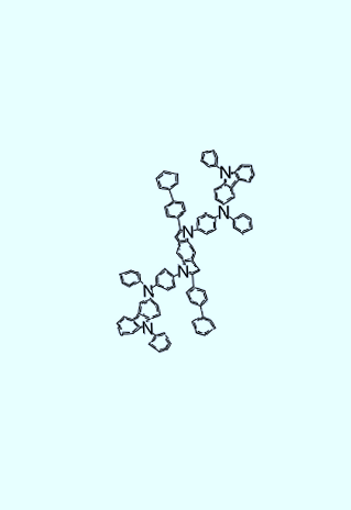 c1ccc(-c2ccc(-c3cc4cc5c(cc(-c6ccc(-c7ccccc7)cc6)n5-c5ccc(N(c6ccccc6)c6ccc7c(c6)c6ccccc6n7-c6ccccc6)cc5)cc4n3-c3ccc(N(c4ccccc4)c4ccc5c(c4)c4ccccc4n5-c4ccccc4)cc3)cc2)cc1